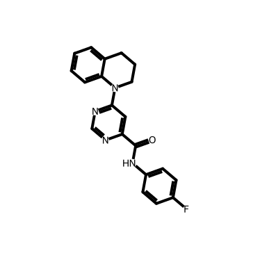 O=C(Nc1ccc(F)cc1)c1cc(N2CCCc3ccccc32)ncn1